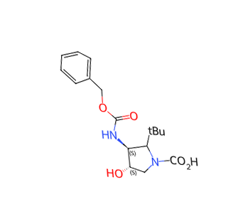 CC(C)(C)C1[C@H](NC(=O)OCc2ccccc2)[C@@H](O)CN1C(=O)O